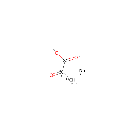 [13CH3][13C](=O)C(=O)[O-].[Na+]